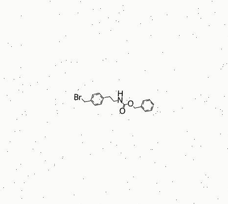 O=C(NCCc1ccc(CBr)cc1)OCc1ccccc1